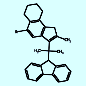 CC1=C(C(C)(C)C2c3ccccc3-c3ccccc32)c2cc(Br)c3c(c2C1)CCCC3